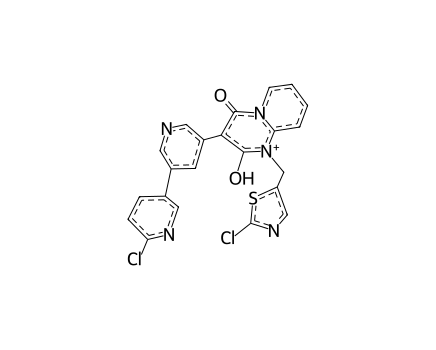 O=c1c(-c2cncc(-c3ccc(Cl)nc3)c2)c(O)[n+](Cc2cnc(Cl)s2)c2ccccn12